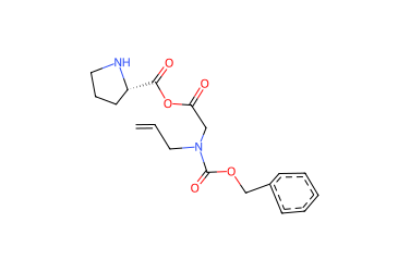 C=CCN(CC(=O)OC(=O)[C@@H]1CCCN1)C(=O)OCc1ccccc1